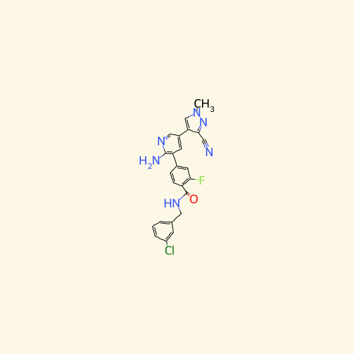 Cn1cc(-c2cnc(N)c(-c3ccc(C(=O)NCc4cccc(Cl)c4)c(F)c3)c2)c(C#N)n1